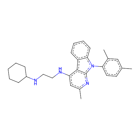 Cc1ccc(-n2c3ccccc3c3c(NCCNC4CCCCC4)cc(C)nc32)c(C)c1